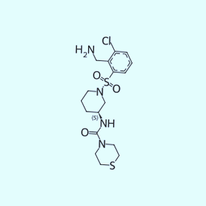 NCc1c(Cl)cccc1S(=O)(=O)N1CCC[C@H](NC(=O)N2CCSCC2)C1